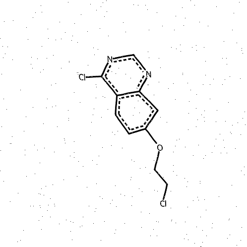 ClCCOc1ccc2c(Cl)ncnc2c1